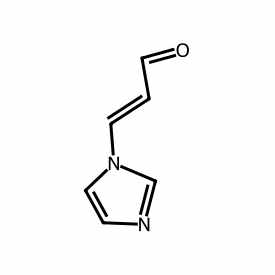 O=CC=Cn1ccnc1